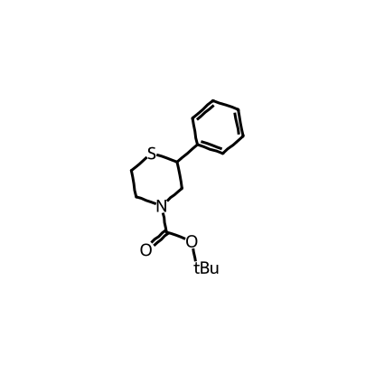 CC(C)(C)OC(=O)N1CCSC(c2ccccc2)C1